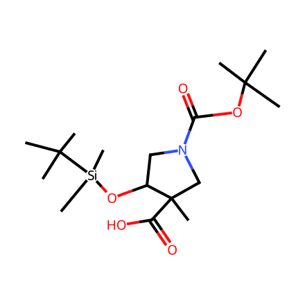 CC(C)(C)OC(=O)N1CC(O[Si](C)(C)C(C)(C)C)C(C)(C(=O)O)C1